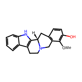 COc1c(O)ccc2c1CN1CCc3c([nH]c4ccccc34)[C@@H]1C2